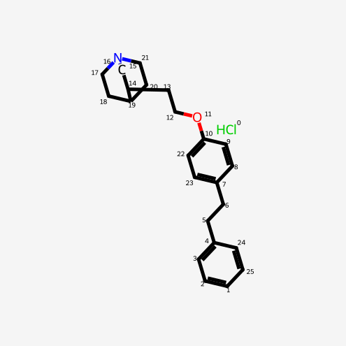 Cl.c1ccc(CCc2ccc(OCCC3CN4CCC3CC4)cc2)cc1